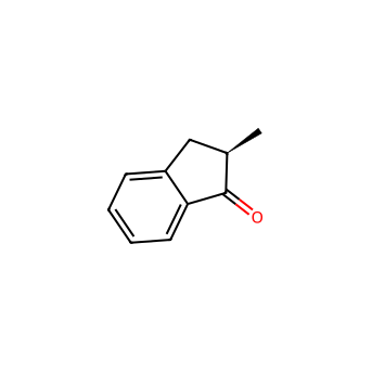 C[C@@H]1Cc2ccccc2C1=O